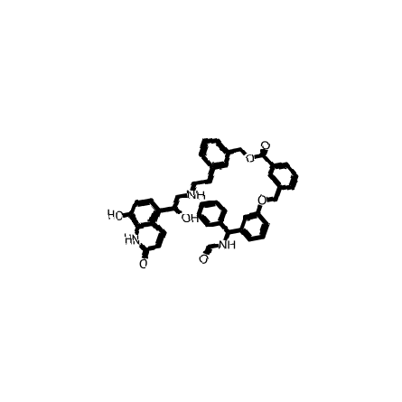 O=CNC(c1ccccc1)c1cccc(OCc2cccc(C(=O)OCc3cccc(CCNCC(O)c4ccc(O)c5[nH]c(=O)ccc45)c3)c2)c1